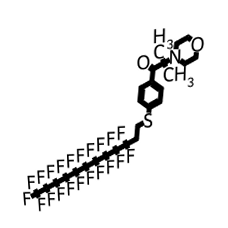 CC(C)(C(=O)c1ccc(SCCC(F)(F)C(F)(F)C(F)(F)C(F)(F)C(F)(F)C(F)(F)C(F)(F)C(F)(F)C(F)(F)C(F)(F)F)cc1)N1CCOCC1